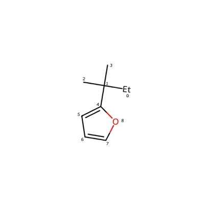 CCC(C)(C)c1ccco1